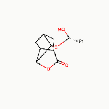 CC(C)[C@@H](O)OC1C2CC3C(=O)OC1C3C2